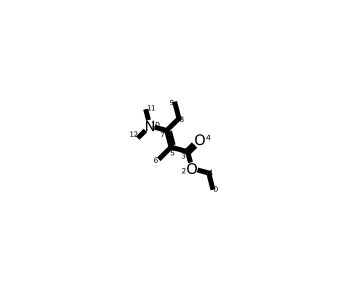 CCOC(=O)/C(C)=C(\CC)N(C)C